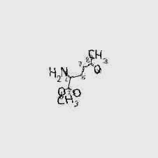 COC(=O)C(N)CCC(C)=O